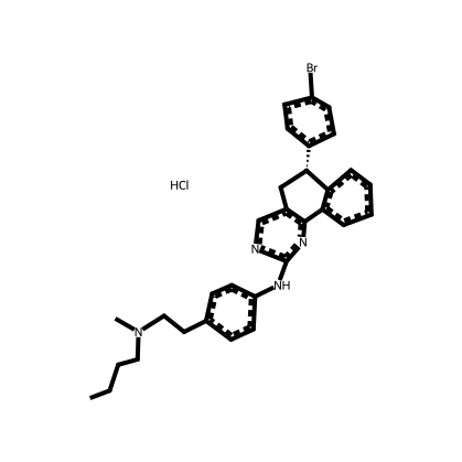 CCCCN(C)CCc1ccc(Nc2ncc3c(n2)-c2ccccc2[C@@H](c2ccc(Br)cc2)C3)cc1.Cl